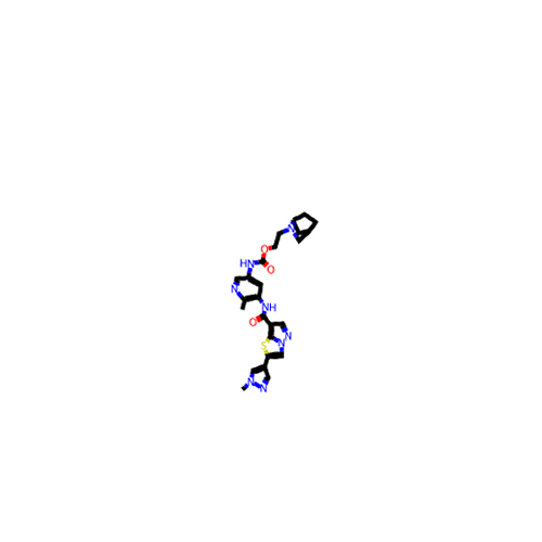 Cc1ncc(NC(=O)OCCN2CC3CCC2C3)cc1NC(=O)c1cnn2cc(-c3cnn(C)c3)sc12